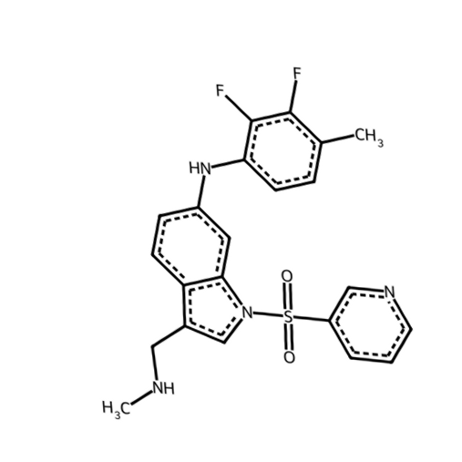 CNCc1cn(S(=O)(=O)c2cccnc2)c2cc(Nc3ccc(C)c(F)c3F)ccc12